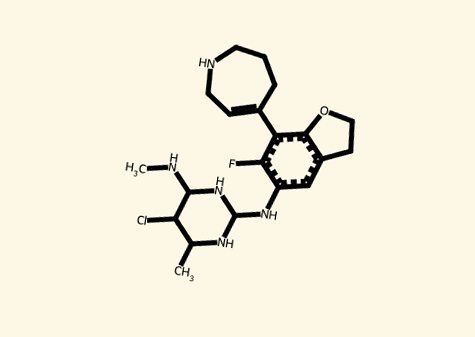 CNC1NC(Nc2cc3c(c(C4=CCNCCC4)c2F)OCC3)NC(C)C1Cl